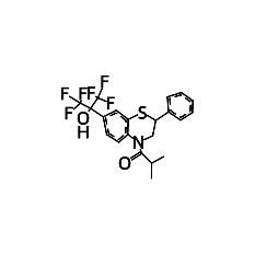 CC(C)C(=O)N1CC(c2ccccc2)Sc2cc(C(O)(C(F)(F)F)C(F)(F)F)ccc21